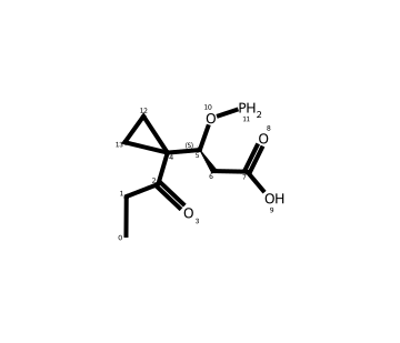 CCC(=O)C1([C@H](CC(=O)O)OP)CC1